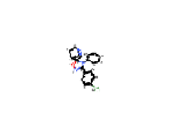 Clc1ccc(C2=NO[C@@]3(CN4CCC3CC4)N2c2ccccc2)cc1